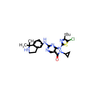 CC(C)(C)c1nc(-n2c3nc(Nc4ccc5c(c4)CCNC5(C)C)ncc3c(=O)n2C2CC2)sc1Cl